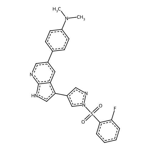 CN(C)c1ccc(-c2cnc3[nH]cc(-c4cnn(S(=O)(=O)c5ccccc5F)c4)c3c2)cc1